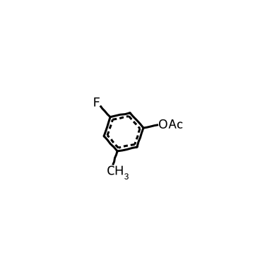 CC(=O)Oc1cc(C)cc(F)c1